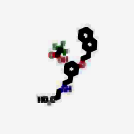 O=C(O)C(F)(F)F.O=C(O)CCNCCc1cccc(OCCc2ccc3ccccc3c2)c1